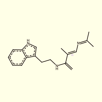 C=C(NCCc1c[nH]c2ccccc12)/C(C)=C/N=C(C)C